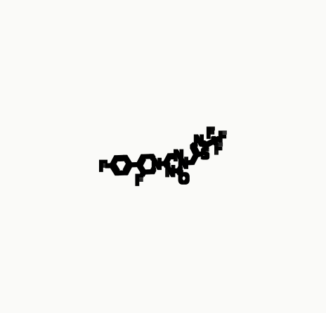 O=c1nc(N2CC=C(c3ccc(F)cc3)C(F)C2)cnn1Cc1cnc(C(F)(F)F)s1